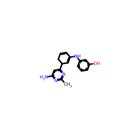 Cc1nc(N)cc([C]2C=C(Nc3cccc(O)c3)C=CC2)n1